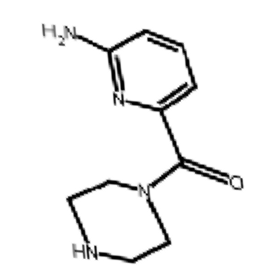 Nc1cccc(C(=O)N2CCNCC2)n1